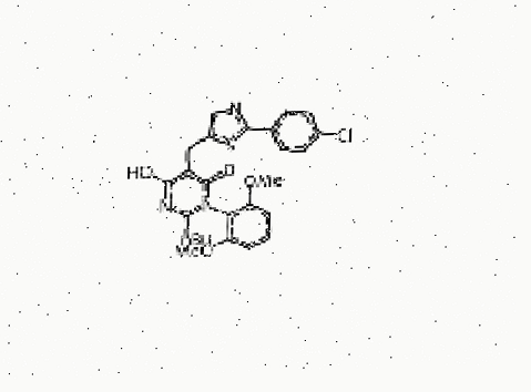 CCCCc1nc(O)c(Cc2cnc(-c3ccc(Cl)cc3)s2)c(=O)n1-c1c(OC)cccc1OC